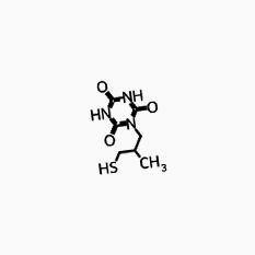 CC(CS)Cn1c(=O)[nH]c(=O)[nH]c1=O